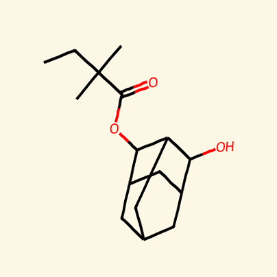 CCC(C)(C)C(=O)OC1C2CC3CC(C2)C(O)C1C3